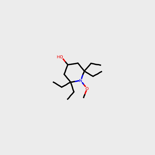 CCC1(CC)CC(O)CC(CC)(CC)N1OC